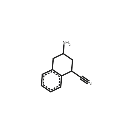 N#CC1CC(N)Cc2ccccc21